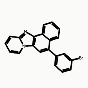 Brc1cccc(-c2cc3c(nc4ccccn43)c3ccccc23)c1